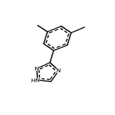 Cc1cc(C)cc(-c2nc[nH]n2)c1